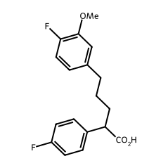 COc1cc(CCCC(C(=O)O)c2ccc(F)cc2)ccc1F